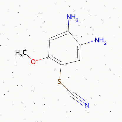 COc1cc(N)c(N)cc1SC#N